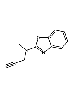 C#CCN(C)c1nc2ccccc2o1